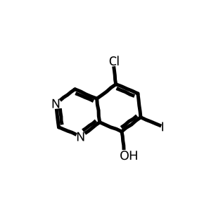 Oc1c(I)cc(Cl)c2cncnc12